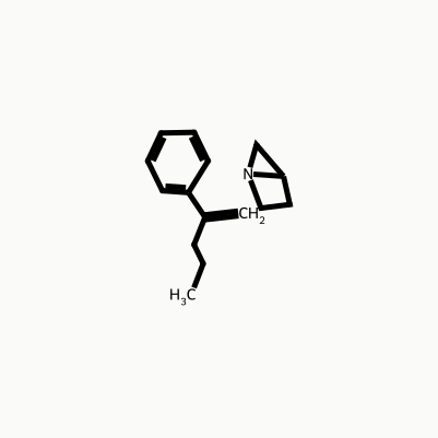 C1CN2CC12.C=C(CCC)c1ccccc1